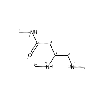 CNCC(CC(=O)NC)NC